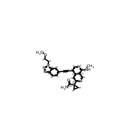 CNc1ncc(C#Cc2ccc3nnn(CCOC)c3c2)c2cc(C3(C(N)=O)CC3)ncc12